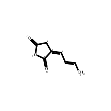 CC=CC=C1CC(=O)OC1=O